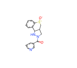 O=C(c1cccnc1)N1CC2C[S+]([O-])c3ccccc3C2N1